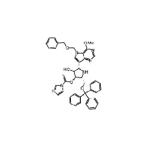 COc1ncnc2c([C@@H]3N[C@H](COC(c4ccccc4)(c4ccccc4)c4ccccc4)[C@@H](OC(=S)n4ccnc4)[C@H]3O)cn(COCc3ccccc3)c12